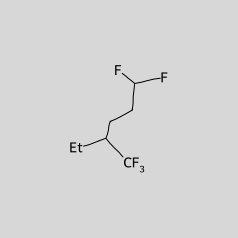 CCC(CCC(F)F)C(F)(F)F